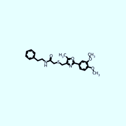 COc1ccc(-c2nc(CSCC(=O)NCCc3ccccc3)c(C)o2)cc1OC